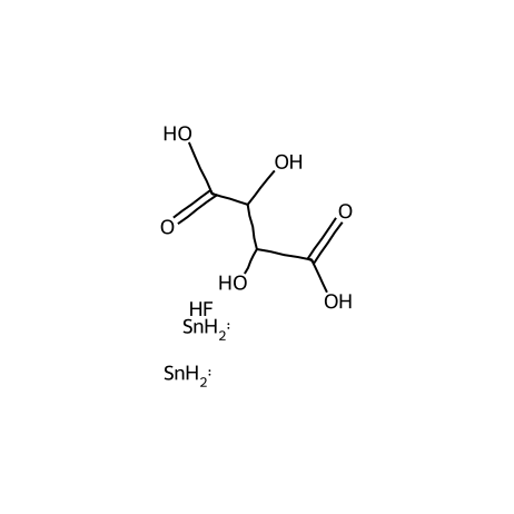 F.O=C(O)C(O)C(O)C(=O)O.[SnH2].[SnH2]